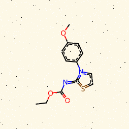 CCOC(=O)/N=c1\sccn1-c1ccc(OC)cc1